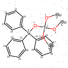 CCC(C)[O][Ti]([O]C(C)CC)([O]C(C)CC)[O][Si](c1ccccc1)(c1ccccc1)c1ccccc1